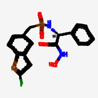 O=C(NO)[C@H](NS(=O)(=O)Cc1ccc2sc(F)cc2c1)c1ccccc1